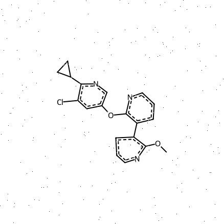 COc1ncccc1-c1cccnc1Oc1cnc(C2CC2)c(Cl)c1